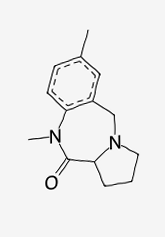 Cc1ccc2c(c1)CN1CCCC1C(=O)N2C